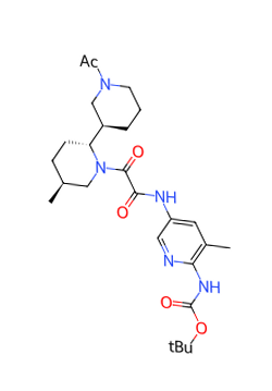 CC(=O)N1CCC[C@@H]([C@H]2CC[C@H](C)CN2C(=O)C(=O)Nc2cnc(NC(=O)OC(C)(C)C)c(C)c2)C1